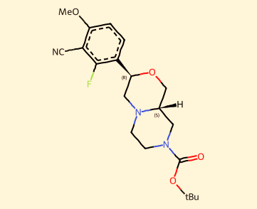 COc1ccc([C@@H]2CN3CCN(C(=O)OC(C)(C)C)C[C@H]3CO2)c(F)c1C#N